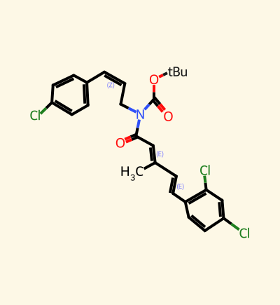 CC(/C=C/c1ccc(Cl)cc1Cl)=C\C(=O)N(C/C=C\c1ccc(Cl)cc1)C(=O)OC(C)(C)C